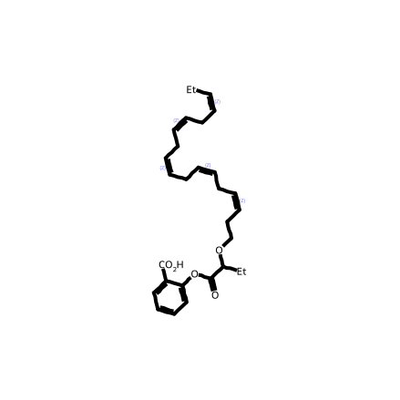 CC/C=C\C/C=C\C/C=C\C/C=C\C/C=C\CCOC(CC)C(=O)Oc1ccccc1C(=O)O